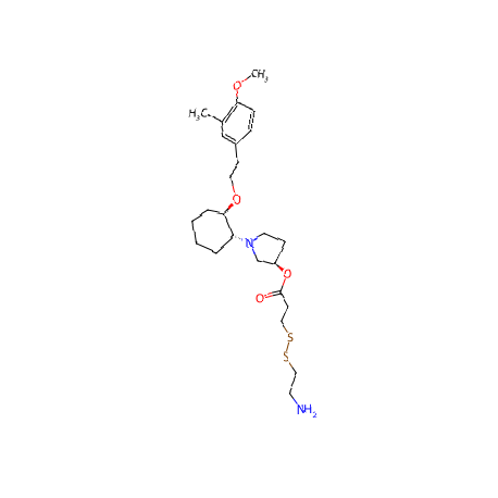 COc1ccc(CCO[C@@H]2CCCC[C@H]2N2CC[C@@H](OC(=O)CCSSCCN)C2)cc1C